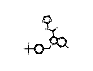 O=C(Nc1nccs1)c1cn(Cc2ccc(C(F)(F)F)cc2)c2cc(F)ccc12